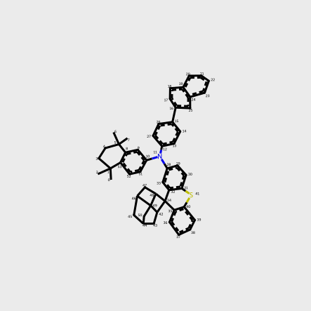 CC1(C)CCC(C)(C)c2cc(N(c3ccc(-c4ccc5ccccc5c4)cc3)c3ccc4c(c3)C3(c5ccccc5S4)C4CC5CC6CC3C64C5)ccc21